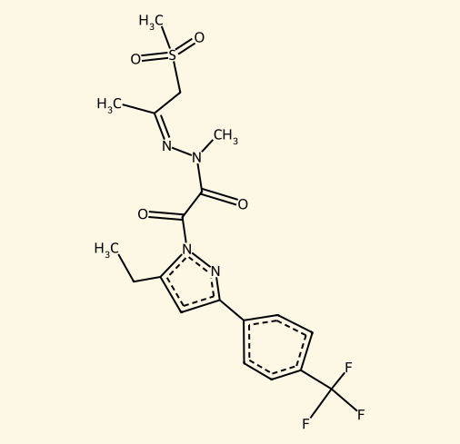 CCc1cc(-c2ccc(C(F)(F)F)cc2)nn1C(=O)C(=O)N(C)N=C(C)CS(C)(=O)=O